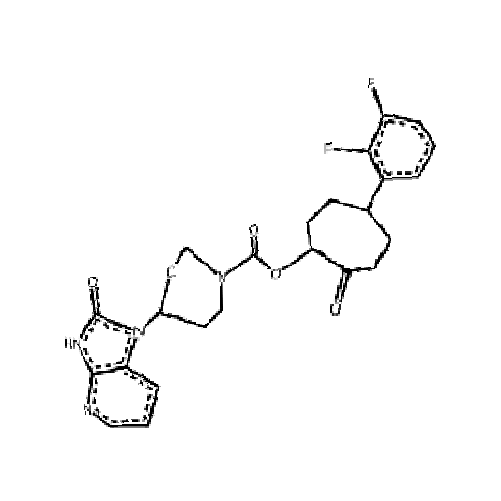 O=C1CCC(c2cccc(F)c2F)CCC1OC(=O)N1CCC(n2c(=O)[nH]c3ncccc32)CC1